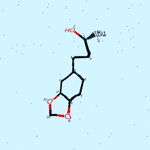 CC(C)(C)[C@H](O)CCC1CCC2OCOC2C1